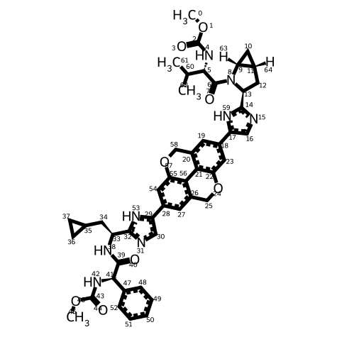 COC(=O)N[C@H](C(=O)N1[C@@H]2C[C@@H]2C[C@H]1c1ncc(-c2cc3c4c(c2)OCc2cc(-c5cnc([C@H](CC6CC6)NC(=O)[C@H](NC(=O)OC)c6ccccc6)[nH]5)cc(c2-4)OC3)[nH]1)C(C)C